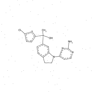 CC(O)(c1ccc2c(c1)N(c1ccnc(N)n1)CC2)c1ccc(Cl)s1